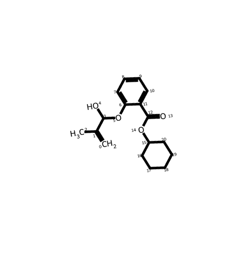 C=C(C)C(O)Oc1ccccc1C(=O)OC1CCCCC1